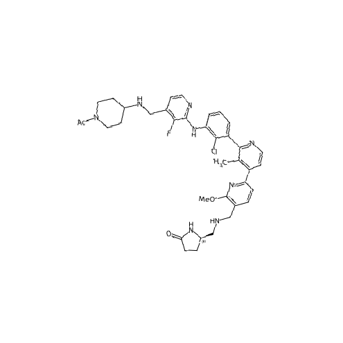 COc1nc(-c2ccnc(-c3cccc(Nc4nccc(CNC5CCN(C(C)=O)CC5)c4F)c3Cl)c2C)ccc1CNC[C@H]1CCC(=O)N1